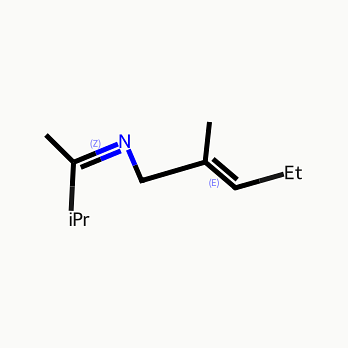 CC/C=C(\C)C/N=C(/C)C(C)C